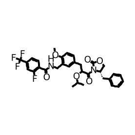 COc1ccc(CC(OC(C)C)C(=O)N2C(=O)OC[C@@H]2Cc2ccccc2)cc1CNC(=O)c1ccc(C(F)(F)F)cc1F